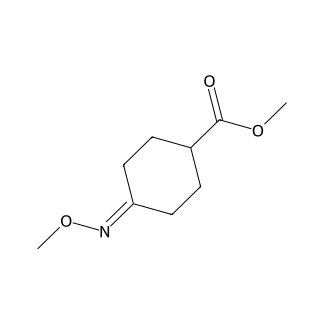 CON=C1CCC(C(=O)OC)CC1